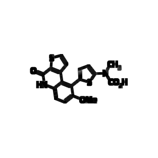 COc1ccc2[nH]c(=O)c3sccc3c2c1-c1ccc(N(C)C(=O)O)s1